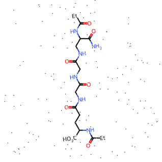 CCC(=O)NC(CNC(=O)CNC(=O)CNC(=O)CCC(NC(=O)CC)C(=O)O)C(N)=O